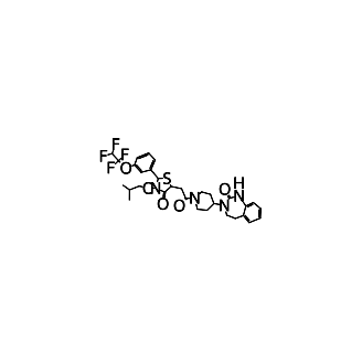 CC(C)CCN1C(=O)C(CC(=O)N2CCC(N3CCc4ccccc4NC3=O)CC2)SC1c1cccc(OC(F)(F)C(F)F)c1